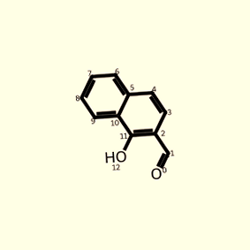 O=[C]c1ccc2ccccc2c1O